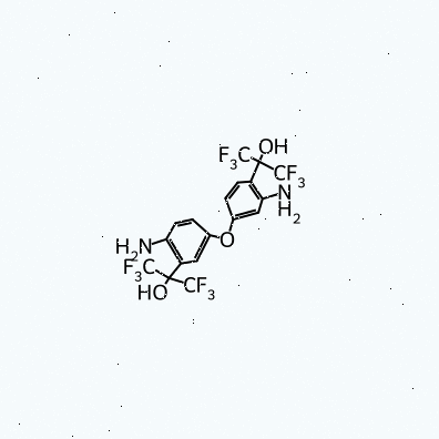 Nc1cc(Oc2ccc(N)c(C(O)(C(F)(F)F)C(F)(F)F)c2)ccc1C(O)(C(F)(F)F)C(F)(F)F